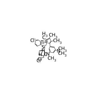 CC1=C(C)[C]([Ti+3])(C[SiH](c2ccccc2)c2ccccc2)C(c2cc(N(C)C)cc(N(C)C)c2)=C1C.[Cl-].[Cl-].[Cl-]